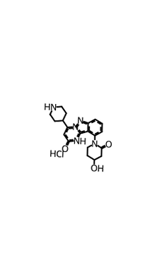 Cl.O=C1CC(O)CCN1c1cccc2nn3c(C4CCNCC4)cc(=O)[nH]c3c12